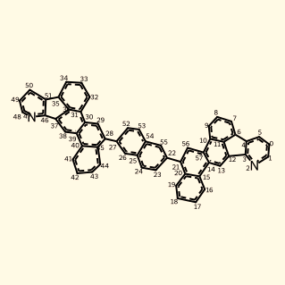 c1cnc2c(c1)-c1cccc3c1c-2cc1c2ccccc2c(-c2ccc4cc(-c5cc6c7cccc8c7c(cc6c6ccccc56)-c5ncccc5-8)ccc4c2)cc31